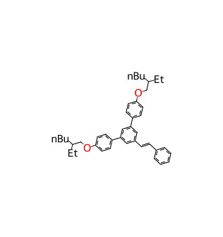 CCCCC(CC)COc1ccc(-c2cc(/C=C/c3ccccc3)cc(-c3ccc(OCC(CC)CCCC)cc3)c2)cc1